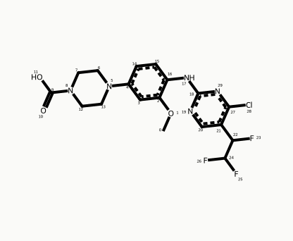 COc1cc(N2CCN(C(=O)O)CC2)ccc1Nc1ncc(C(F)C(F)F)c(Cl)n1